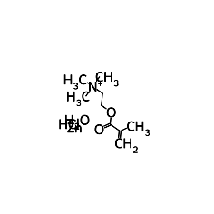 C=C(C)C(=O)OCC[N+](C)(C)C.Cl.O.[Zn]